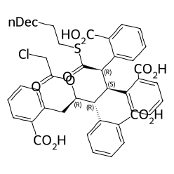 CCCCCCCCCCCCSC(=O)[C@@H](c1ccccc1C(=O)O)[C@@H](c1ccccc1C(=O)O)[C@H](c1ccccc1C(=O)O)[C@@H](Cc1ccccc1C(=O)O)OC(=O)CCl